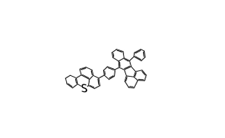 C1=CC2=C(CC1)c1cccc3c(-c4ccc(-c5c6c(c(-c7ccccc7)c7ccccc57)-c5cccc7cccc-6c57)cc4)ccc(c13)S2